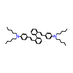 CCCCCN(CCCCC)c1ccc(/C=C/c2ccccc2-c2ccccc2/C=C/c2ccc(N(CCCCC)CCCCC)cc2)cc1